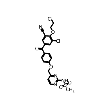 CS(=O)(=O)Nc1nccc(COc2ccc(C(=O)c3cc(Cl)c(OCCCl)c(C#N)c3)cc2)n1